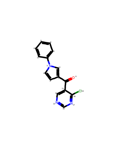 O=C(c1ccn(-c2ccccc2)c1)c1cncnc1Cl